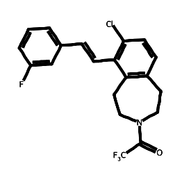 O=C(N1CCc2ccc(Cl)c(C=Cc3cccc(F)c3)c2CC1)C(F)(F)F